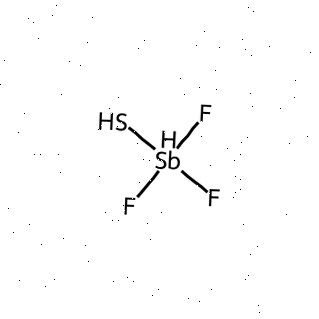 [F][SbH]([F])([F])[SH]